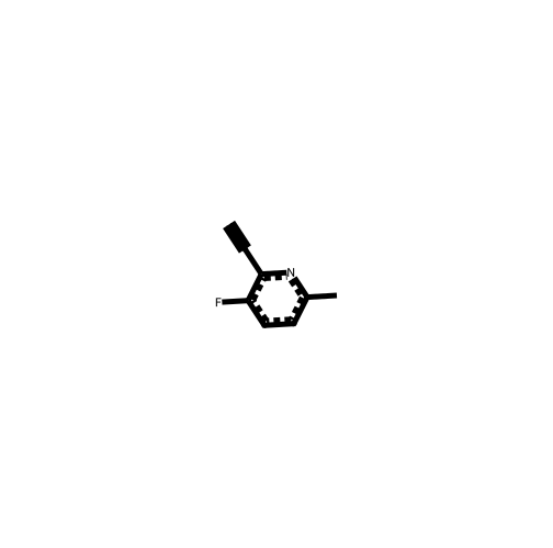 C#Cc1nc(C)ccc1F